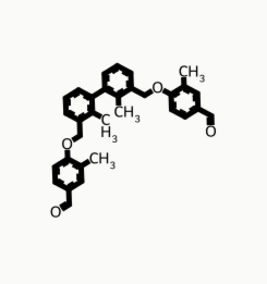 Cc1cc(C=O)ccc1OCc1cccc(-c2cccc(COc3ccc(C=O)cc3C)c2C)c1C